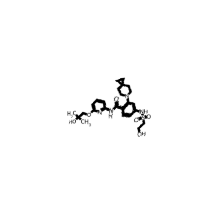 CC(C)(O)COc1cccc(NC(=O)c2ccc(NS(=O)(=O)CCO)cc2N2CCC3(CC2)CC3)n1